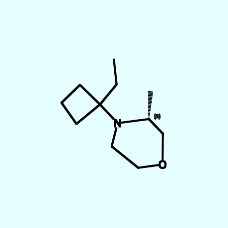 CCC1(N2CCOC[C@H]2C)CCC1